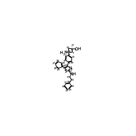 C[C@]1(O)C[C@@](N)(c2ccc(-c3nc(NCCc4ccccc4)sc3-c3ccccc3)cc2)C1